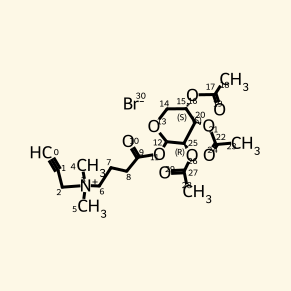 C#CC[N+](C)(C)CCCC(=O)OC1OC[C@H](OC(C)=O)[C@H](OC(C)=O)[C@H]1OC(C)=O.[Br-]